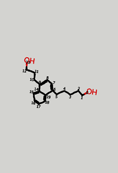 OCCCCCc1ccc(CCCO)c2ccccc12